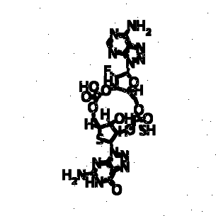 Nc1nc2c(nnn2[C@@H]2S[C@@H]3COP(=O)(O)O[C@H]4[C@H](F)[C@H](n5nnc6c(N)ncnc65)O[C@@H]4COP(=O)(S)O[C@@H]2[C@@H]3O)c(=O)[nH]1